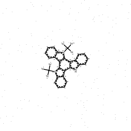 [2H]C([2H])([2H])n1c2ccccc2c2c3[nH]c4ccccc4c3c3c(c4ccccc4n3C([2H])([2H])[2H])c21